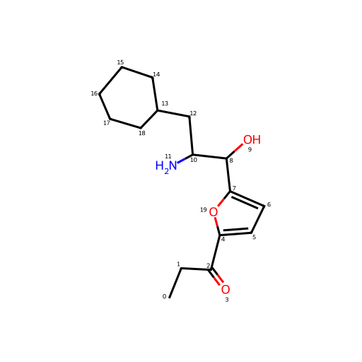 CCC(=O)c1ccc(C(O)C(N)CC2CCCCC2)o1